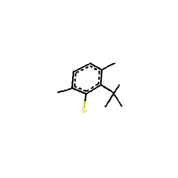 Cc1ccc(C)c(C(C)(C)C)c1[S]